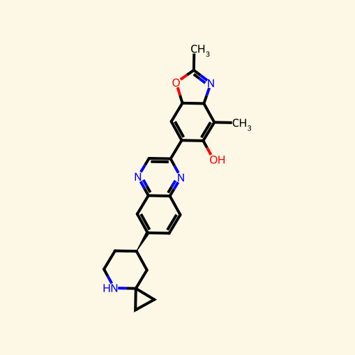 CC1=NC2C(C)=C(O)C(c3cnc4cc([C@@H]5CCNC6(CC6)C5)ccc4n3)=CC2O1